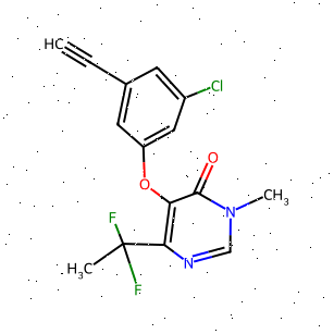 C#Cc1cc(Cl)cc(Oc2c(C(C)(F)F)ncn(C)c2=O)c1